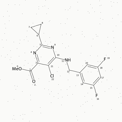 COC(=O)c1nc(C2CC2)nc(NCc2cc(F)cc(F)c2)c1Cl